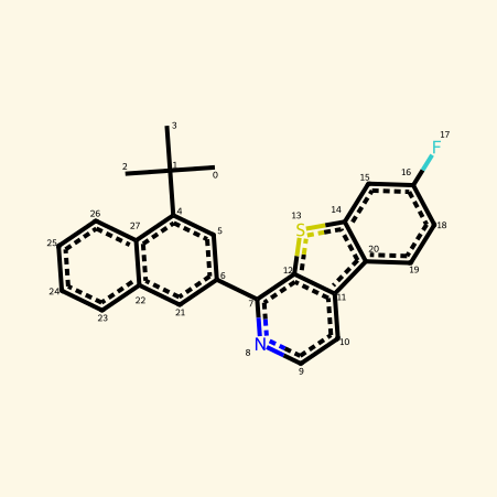 CC(C)(C)c1cc(-c2nccc3c2sc2cc(F)ccc23)cc2ccccc12